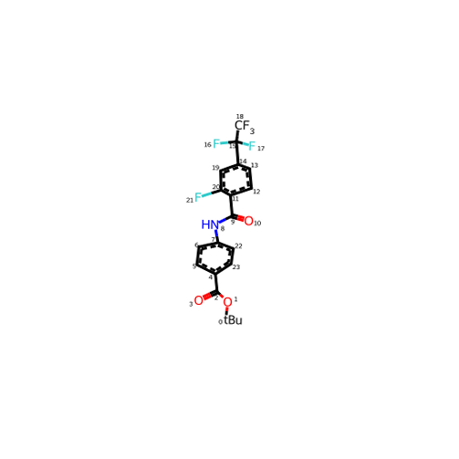 CC(C)(C)OC(=O)c1ccc(NC(=O)c2ccc(C(F)(F)C(F)(F)F)cc2F)cc1